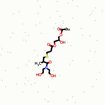 CCC(C)C(=O)OCC(O)COC(=O)CCSCC(C)C(=O)N(CCO)CCO